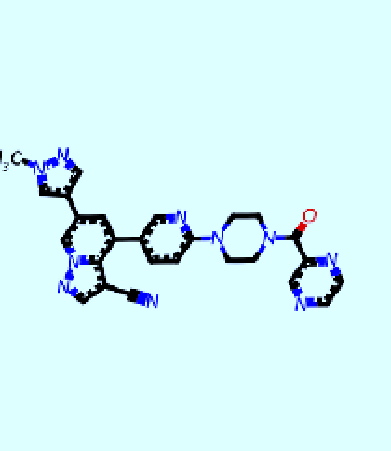 Cn1cc(-c2cc(-c3ccc(N4CCN(C(=O)c5cnccn5)CC4)nc3)c3c(C#N)cnn3c2)cn1